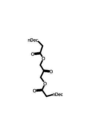 CCCCCCCCCCCC(=O)OCC(=O)COC(=O)CCCCCCCCCCC